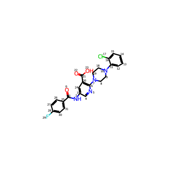 O=C(Nc1cnc(N2CCN(c3ccccc3Cl)CC2)c(C(=O)O)c1)c1ccc(F)cc1